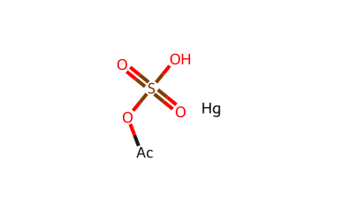 CC(=O)OS(=O)(=O)O.[Hg]